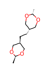 C[C@H]1OC[C@@H](CC[C@H]2CO[C@@H](C)OC2)CO1